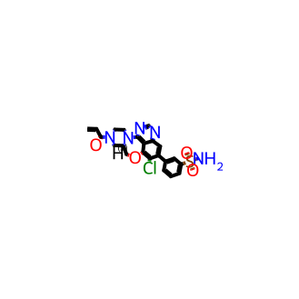 C=CC(=O)N1CCN2c3ncnc4cc(-c5cccc(S(N)(=O)=O)c5)c(Cl)c(c34)OC[C@@H]2C1